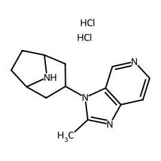 Cc1nc2ccncc2n1C1CC2CCC(C1)N2.Cl.Cl